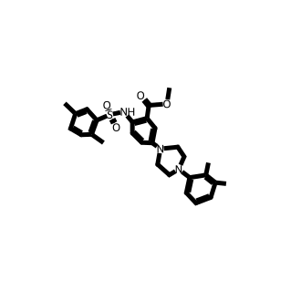 COC(=O)c1cc(N2CCN(c3cccc(C)c3C)CC2)ccc1NS(=O)(=O)c1cc(C)ccc1C